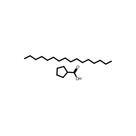 CCCCCCCCCCCCCCCC.O=C(O)C1CCCC1